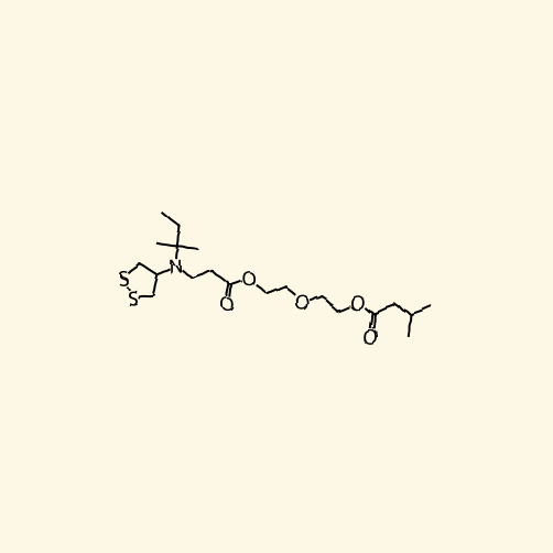 CCC(C)(C)N(CCC(=O)OCCOCCOC(=O)CC(C)C)C1CSSC1